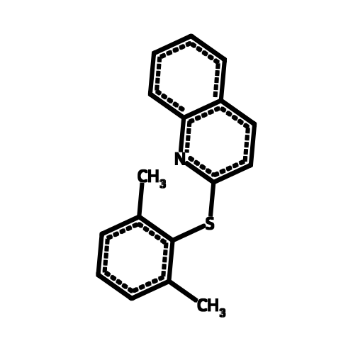 Cc1cccc(C)c1Sc1ccc2ccccc2n1